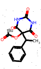 CC(c1ccccc1)C1(OC(=O)C(C)(C)C)C(=O)NC(=O)NC1=O